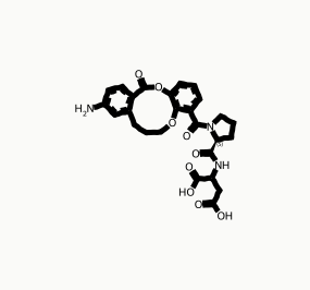 Nc1ccc2c(c1)CCCOc1c(cccc1C(=O)N1CCC[C@H]1C(=O)NC(CC(=O)O)C(=O)O)OC2=O